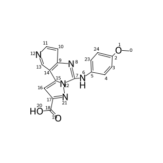 COc1ccc(Nc2nc3ccncc3c3cc(C(=O)O)nn23)cc1